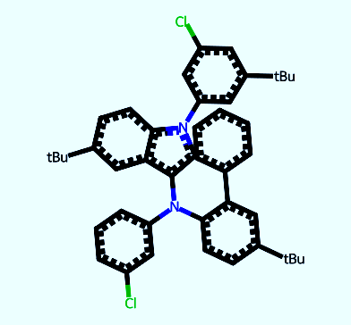 CC(C)(C)c1cc(Cl)cc(-n2cc(N(c3cccc(Cl)c3)c3ccc(C(C)(C)C)cc3-c3ccccc3)c3cc(C(C)(C)C)ccc32)c1